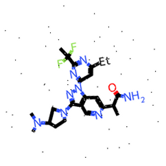 CCc1cc(-n2nc(N3CCC(N(C)C)C3)c3cnc(C(C)C(N)=O)cc32)nc(C(C)(F)F)n1